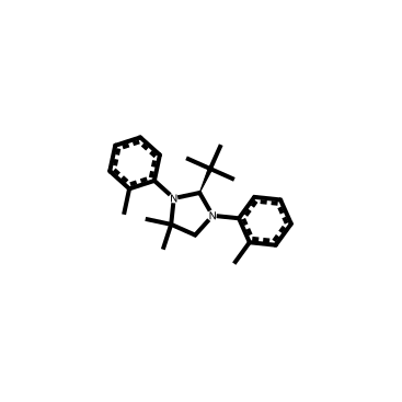 Cc1ccccc1N1CC(C)(C)N(c2ccccc2C)[C@H]1C(C)(C)C